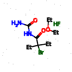 CCC(Br)(CC)C(=O)NC(N)=O.CCOCC.F